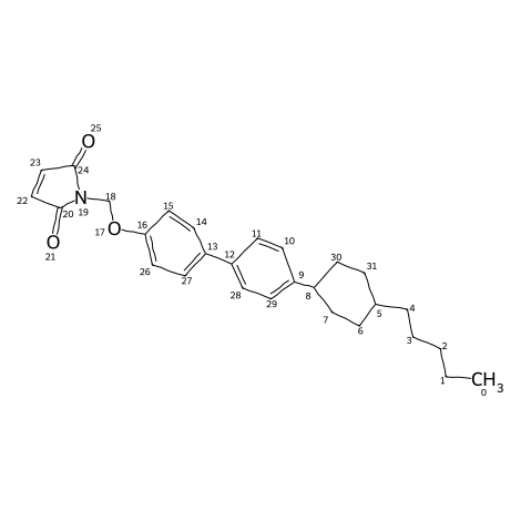 CCCCCC1CCC(c2ccc(-c3ccc(OCN4C(=O)C=CC4=O)cc3)cc2)CC1